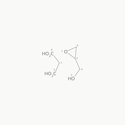 O=C(O)CC(=O)O.OCC1CO1